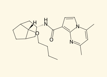 CCCCO[C@H]1C2CCC1C[C@@H](NC(=O)c1ccn3c(C)cc(C)nc13)C2